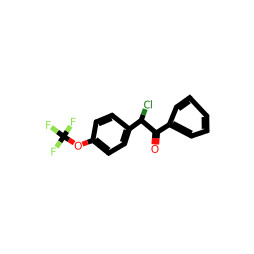 O=C(c1ccccc1)C(Cl)c1ccc(OC(F)(F)F)cc1